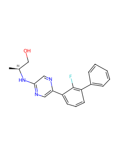 C[C@@H](CO)Nc1cnc(-c2cccc(-c3ccccc3)c2F)cn1